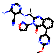 COc1ncc(-c2cccc3nc([C@H](C)Nc4ncnc(N)c4C#N)n(-c4ccon4)c(=O)c23)cn1